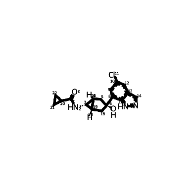 O=C(N[C@@H]1[C@@H]2C[C@@](O)(c3cc(Cl)cc4cn[nH]c34)C[C@@H]21)C1CC1